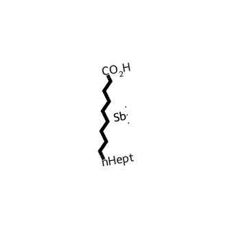 CCCCCCCCCCCCCCCC(=O)O.[Sb]